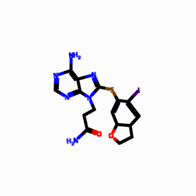 NC(=O)CCn1c(SC2=CC3OCCC3C=C2I)nc2c(N)ncnc21